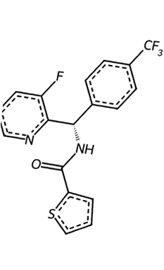 O=C(N[C@@H](c1ccc(C(F)(F)F)cc1)c1ncccc1F)c1cccs1